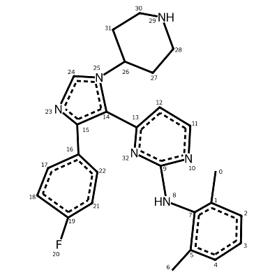 Cc1cccc(C)c1Nc1nccc(-c2c(-c3ccc(F)cc3)ncn2C2CCNCC2)n1